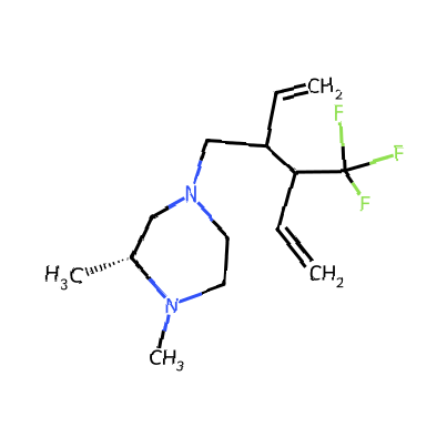 C=CC(CN1CCN(C)[C@H](C)C1)C(C=C)C(F)(F)F